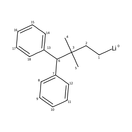 [Li][CH2]CC(C)(C)C(c1ccccc1)c1ccccc1